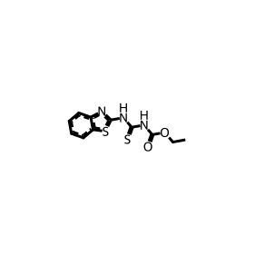 CCOC(=O)NC(=S)Nc1nc2ccccc2s1